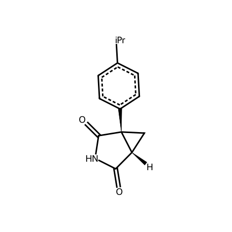 CC(C)c1ccc([C@@]23C[C@@H]2C(=O)NC3=O)cc1